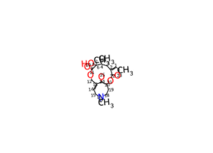 CC=C1CC(C)C(C)(O)C(=O)OCC2=CCN(C)CCC(OC1=O)C2=O